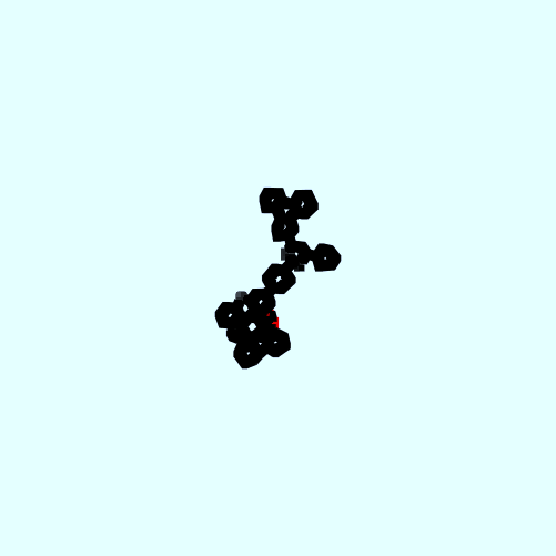 c1ccc(-c2cc(-c3ccc4c5ccccc5c5ccccc5c4c3)nc(-c3ccc(-c4ccc5c(c4)Oc4ccccc4C54c5ccccc5C5(c6ccccc6-c6ccccc65)c5ccccc54)cc3)n2)cc1